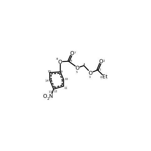 CCC(=O)OCOC(=O)Oc1ccc([N+](=O)[O-])cc1